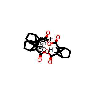 CCCC1(CCC)C2CCC1C(C(=O)OC(=O)C1C(C(=O)OC(=O)C3C(C(=O)O)C4CCC3C4(CCC)CCC)C3CCC1C3(C)C)C2C(=O)O